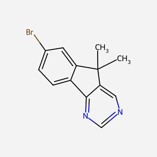 CC1(C)c2cc(Br)ccc2-c2ncncc21